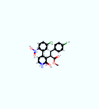 COC(=O)C(Cc1ccc(F)cc1)c1c(-c2cc(Cl)ccc2[N+](=O)[O-])cc[nH]c1=O